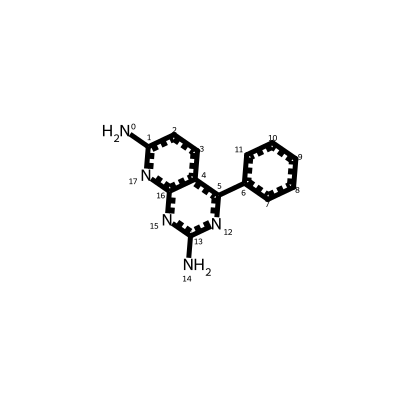 Nc1ccc2c(-c3ccccc3)nc(N)nc2n1